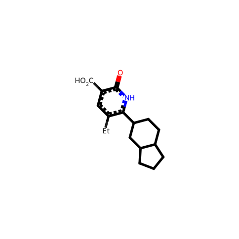 CCc1cc(C(=O)O)c(=O)[nH]c1C1CCC2CCCC2C1